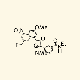 CCNC(=O)c1cccc(C2=C(NC)OC(c3cc(OC)cc4c([N+](=O)[O-])cc(CF)cc34)C2=O)c1